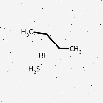 CCCC.F.S